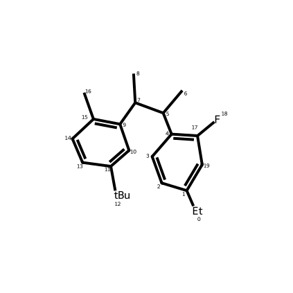 CCc1ccc(C(C)C(C)c2cc(C(C)(C)C)ccc2C)c(F)c1